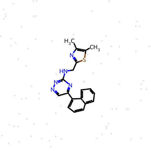 Cc1nc(CNc2nncc(-c3cccc4ccccc34)n2)sc1C